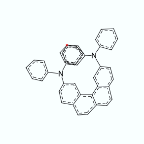 c1ccc(N(c2ccccc2)c2ccc3ccc4ccc5ccc(N(c6ccccc6)c6ccccc6)cc5c4c3c2)cc1